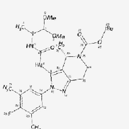 COC(OC)C(C)NC(=O)Nc1c2c(nn1-c1cc(C)c(F)c(C)c1)CCN(C(=O)OC(C)(C)C)[C@H]2C